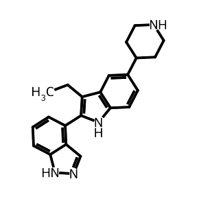 CCc1c(-c2cccc3[nH]ncc23)[nH]c2ccc(C3CCNCC3)cc12